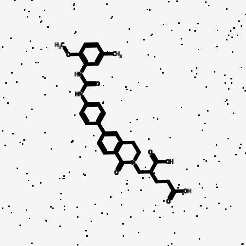 COc1ccc(C)cc1NC(=O)Nc1ccc(-c2ccc3c(c2)CCN(CC(CCC(=O)O)C(=O)O)C3=O)cc1